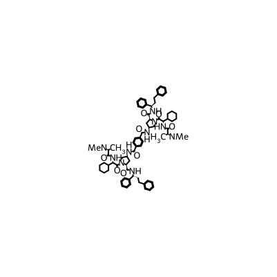 CN[C@@H](C)C(=O)N[C@H](C(=O)N1C[C@@H](NC(=O)c2ccc(C(=O)N[C@H]3C[C@@H](C(=O)N[C@H](CCc4ccccc4)c4ccccc4)N(C(=O)[C@@H](NC(=O)[C@H](C)NC)C4CCCCC4)C3)cc2)C[C@H]1C(=O)N[C@H](CCc1ccccc1)c1ccccc1)C1CCCCC1